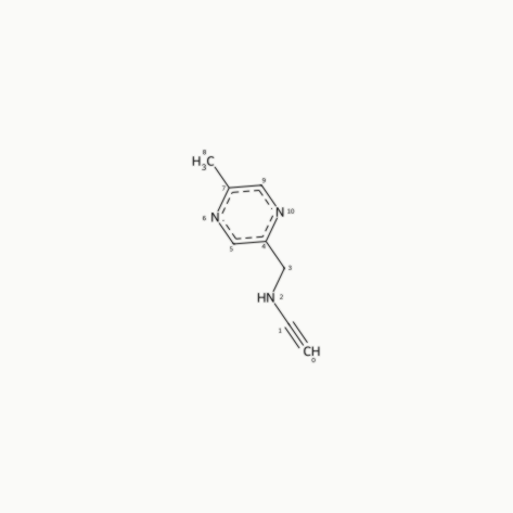 C#CNCc1cnc(C)cn1